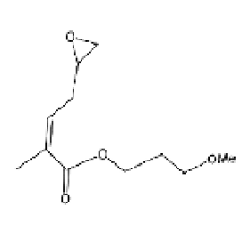 COCCCOC(=O)C(C)=CCC1CO1